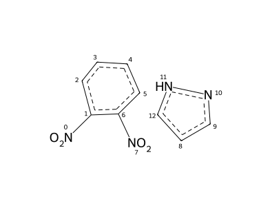 O=[N+]([O-])c1ccccc1[N+](=O)[O-].c1cn[nH]c1